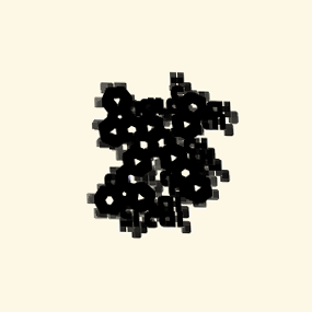 Cc1cc2c(cc1N1c3cc4c(cc3B3c5ccc(/C=C6\c7ccc(C(C)(C)C)cc7C7(C)CCCCC67C)cc5N5c6cccc7c6C(C)(c6ccccc6-7)c6c(C)cc1c3c65)C(C)(C)c1ccccc1C4(C)C)C(C)(C)CCC2(C)C